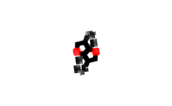 CC(C)[C@@H]1CO[C@H]2[C@@H]1OC[C@H]2C